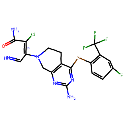 N=C/C(=C(/Cl)C(N)=O)N1CCc2c(nc(N)nc2Sc2ccc(F)cc2C(F)(F)F)C1